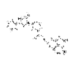 COc1cc(/C=C/C(=O)c2cccc(-n3cc(-c4cccnc4)[nH]c3=O)c2)cc(CO)c1CO